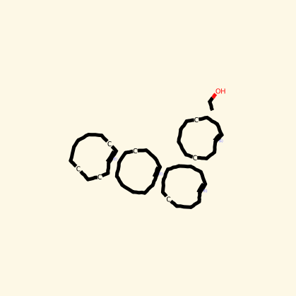 C1=C/CCCCCCCCCC/1.C1=C/CCCCCCCCCC/1.C1=C/CCCCCCCCCC/1.C1=C/CCCCCCCCCC/1.CCO